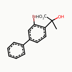 CC(O)(C(=O)O)c1ccc(-c2ccccc2)cc1Br